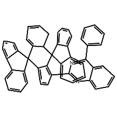 C1=CCC2C(=C1)C1(c3ccccc3-c3ccccc31)c1cccc(-c3nc(-c4ccccc4)c4ccccc4n3)c1C21c2ccccc2-c2ccccc21